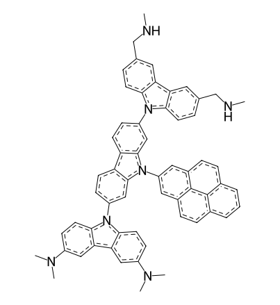 CNCc1ccc2c(c1)c1cc(CNC)ccc1n2-c1ccc2c3ccc(-n4c5ccc(N(C)C)cc5c5cc(N(C)C)ccc54)cc3n(-c3cc4ccc5cccc6ccc(c3)c4c56)c2c1